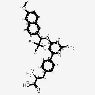 COc1ccc2cc(C(Oc3cc(-c4ccc(CC(N)C(=O)O)cc4)nc(N)n3)C(F)(F)F)ccc2c1